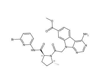 COC(=O)c1ccc2c3c(N)ncnc3n(CC(=O)N3[C@H](C)CC[C@H]3C(=O)Nc3cccc(Br)n3)c2c1